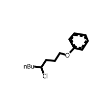 CCCCC(Cl)CCCOc1ccccc1